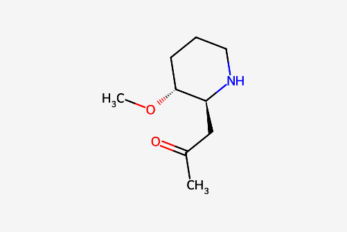 CO[C@@H]1CCCN[C@H]1CC(C)=O